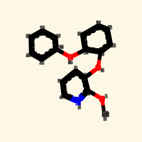 CCOc1ncccc1Oc1ccccc1Oc1ccccc1